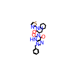 O=C(Nc1nccs1)C(CC1CCCCC1)n1c(=O)[nH]c2c(ncn2Cc2ccccc2)c1=O